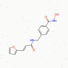 O=C(/C=C/c1ccco1)NCc1ccc(C(=O)NO)cc1